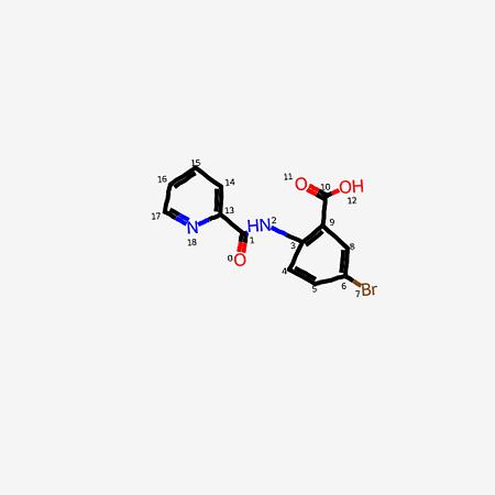 O=C(Nc1ccc(Br)cc1C(=O)O)c1ccccn1